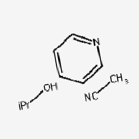 CC#N.CC(C)O.c1ccncc1